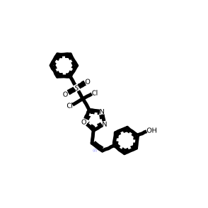 O=S(=O)(c1ccccc1)C(Cl)(Cl)c1nnc(/C=C\c2ccc(O)cc2)o1